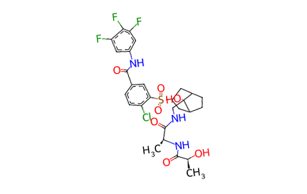 C[C@H](O)C(=O)N[C@@H](C)C(=O)NC[C@]1(O)C2CCC1C[C@@H](S(=O)(=O)c1cc(C(=O)Nc3cc(F)c(F)c(F)c3)ccc1Cl)C2